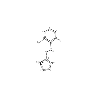 Cc1cccc(C)c1SCc1ncon1